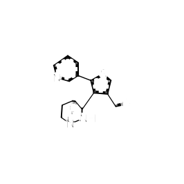 O=Cc1csc(-c2cccnc2)c1C1CNN2CCC1CC2